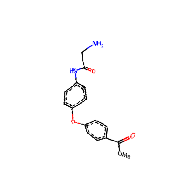 COC(=O)c1ccc(Oc2ccc(NC(=O)CN)cc2)cc1